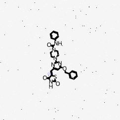 O=C1NC(=O)/C(=C/c2cc(OCc3ccccc3)nc(N3CCN(C(=O)Nc4ccccc4)CC3)n2)S1